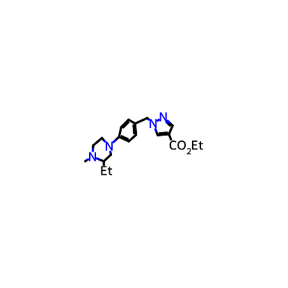 CCOC(=O)c1cnn(Cc2ccc(N3CCN(C)C(CC)C3)cc2)c1